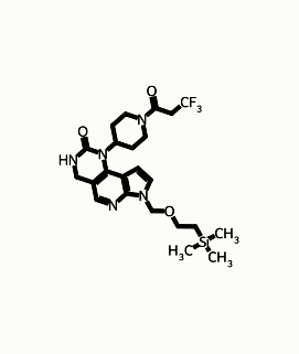 C[Si](C)(C)CCOCn1ccc2c3c(cnc21)CNC(=O)N3C1CCN(C(=O)CC(F)(F)F)CC1